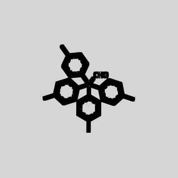 Cc1ccc(P(C=O)(c2ccc(C)cc2)(c2ccc(C)cc2)c2ccc(C)cc2)cc1